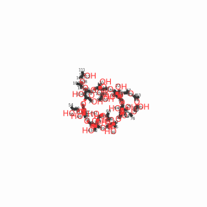 CCC1OC2OC3C(CO)OC(OC4C(CO)OC(OC5C(CO)OC6OC7C(CO)OC(OC8C(CO)OC(OC9C(CO)OC(OC1C(O)C2OCC(C)O)C(OCC(C)O)C9O)C(OCC(C)O)C8O)C(OCC(C)OCC(O)OC(C)COC(C)COC6C5O)C7O)C(OCC(C)O)C4O)C(OCC(C)OCC(C)O)C3O